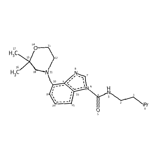 CC(C)CCNC(=O)n1cnc2c(N3CCOC(C)(C)C3)cccc21